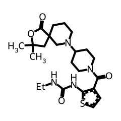 CCNC(=O)Nc1sccc1C(=O)N1CCC(N2CCCC3(C2)CC(C)(C)OC3=O)CC1